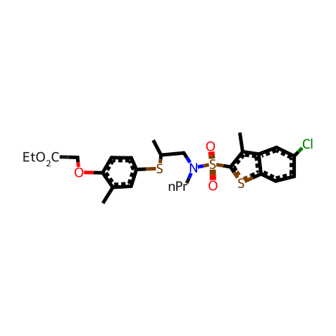 CCCN(CC(C)Sc1ccc(OCC(=O)OCC)c(C)c1)S(=O)(=O)c1sc2ccc(Cl)cc2c1C